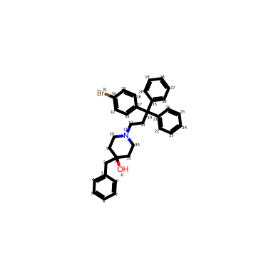 OC1(Cc2ccccc2)CCN(CCC(c2ccccc2)(c2ccccc2)c2ccc(Br)cc2)CC1